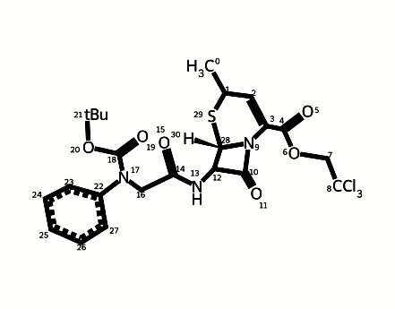 CC1C=C(C(=O)OCC(Cl)(Cl)Cl)N2C(=O)C(NC(=O)CN(C(=O)OC(C)(C)C)c3ccccc3)[C@@H]2S1